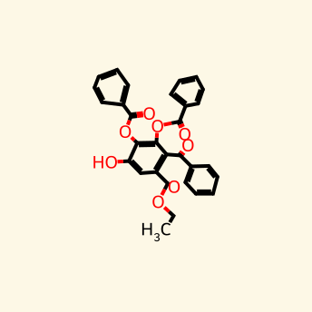 CCOC(=O)c1cc(O)c(OC(=O)c2ccccc2)c(OC(=O)c2ccccc2)c1C(=O)c1ccccc1